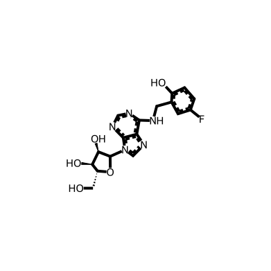 OC[C@H]1OC(n2cnc3c(NCc4cc(F)ccc4O)ncnc32)[C@H](O)[C@@H]1O